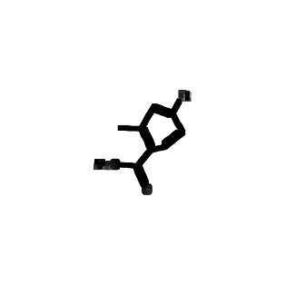 CCc1ccc(C(=O)OC)c(C)c1